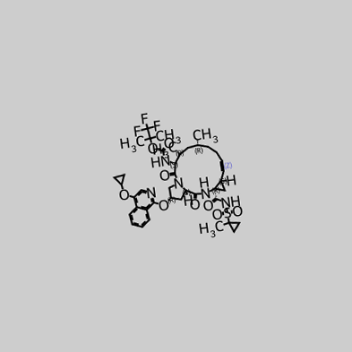 C[C@@H]1CC/C=C\[C@@H]2C[C@@]2(C(=O)NS(=O)(=O)C2(C)CC2)NC(=O)[C@@H]2C[C@@H](Oc3ncc(OC4CC4)c4ccccc34)CN2C(=O)[C@@H](NC(=O)OC(C)(C)C(F)(F)F)[C@H](C)C1